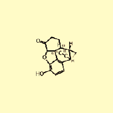 O=C1CC[C@H]2[C@@H]3C[C@]34CC[C@@]23c2c4ccc(O)c2OC13